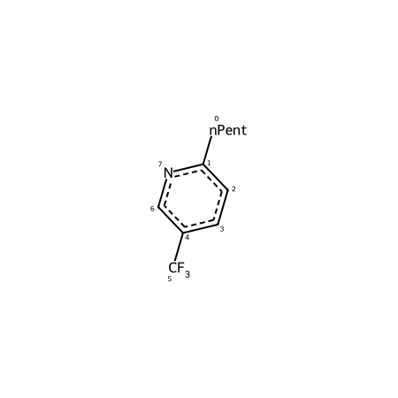 [CH2]CCCCc1ccc(C(F)(F)F)cn1